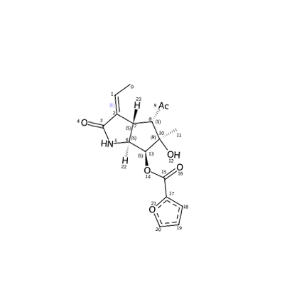 C/C=C1/C(=O)N[C@H]2[C@H]1[C@H](C(C)=O)[C@@](C)(O)[C@H]2OC(=O)c1ccco1